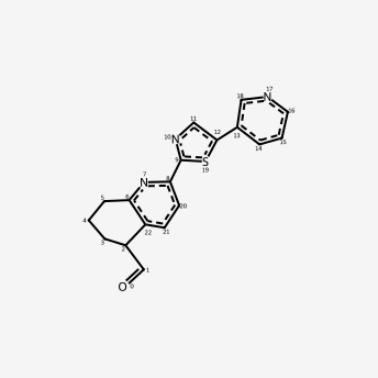 O=CC1CCCc2nc(-c3ncc(-c4cccnc4)s3)ccc21